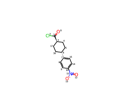 O=C(Cl)[C@H]1CC[C@H](c2ccc([N+](=O)[O-])cc2)CC1